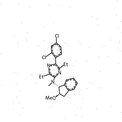 CCc1nc(N(C)[C@@H]2c3ccccc3C[C@H]2OC)c(CC)nc1-c1ccc(Cl)cc1Cl